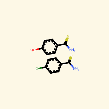 NC(=S)c1ccc(Cl)cc1.NC(=S)c1ccc(O)cc1